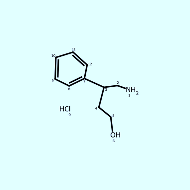 Cl.NCC(CCO)c1ccccc1